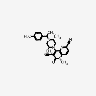 Cc1ccc(C(C)N2C[C@H](C)N(c3c(C#N)c(=O)n(C)c4ccc(C#N)nc34)C[C@H]2C)cc1